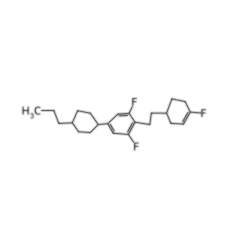 CCCC1CCC(c2cc(F)c(CCC3CC=C(F)CC3)c(F)c2)CC1